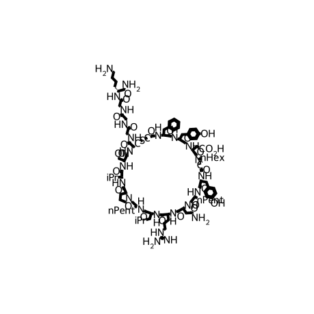 CCCCCCN1CC(=O)NC(Cc2ccc(O)cc2)C(=O)NC(CCCCC)C(=O)NC(CC(N)=O)C(=O)NC(CCCNC(=N)N)C(=O)NC(CC(C)C)C(=O)NC(CCCCC)C(=O)N2CCCC2C(=O)NC(C(C)C)C(=O)NC(CO)C(=O)NC(C(=O)NCC(=O)NCC(=O)NCC(=O)N[C@H](CCCCN)C(N)=O)CSCC(=O)NC(Cc2ccccc2)C(=O)NC(Cc2ccc(O)cc2)C(=O)NC(CC(=O)O)C1=O